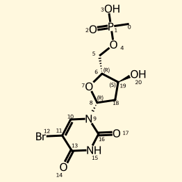 CP(=O)(O)OC[C@H]1O[C@@H](n2cc(Br)c(=O)[nH]c2=O)C[C@@H]1O